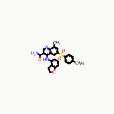 COc1ccc(S(=O)(=O)c2cc(C)c3ncc(C(N)=O)c(Nc4cccc5c4CCO5)c3c2)cc1